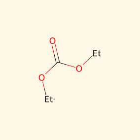 C[CH]OC(=O)OCC